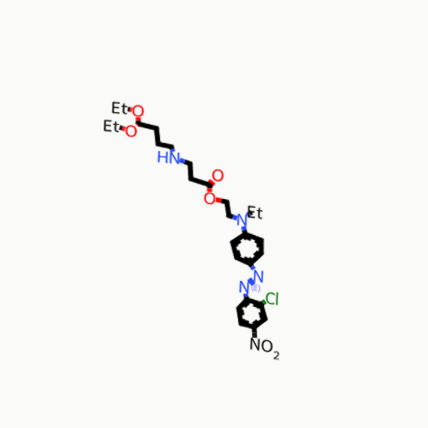 CCOC(CCCNCCC(=O)OCCN(CC)c1ccc(/N=N/c2ccc([N+](=O)[O-])cc2Cl)cc1)OCC